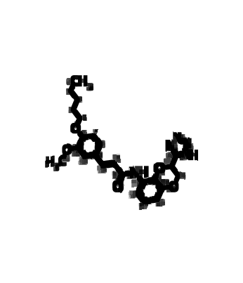 CCCCCOc1ccc(/C=C/C(=O)Nc2cccc3c2OC(c2nnn[nH]2)CO3)cc1OC